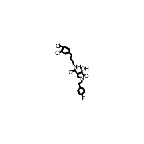 O=C(NCCCCc1ccc(Cl)c(Cl)c1)C1=C(O)C(=O)N(CCc2ccc(F)cc2)C1